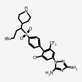 CC(C)(C)CCC(C1CCNCC1)S(=O)(=O)c1ccc(-c2c(Cl)cc(-n3nc(N)nc3N)cc2C(F)(F)F)cc1